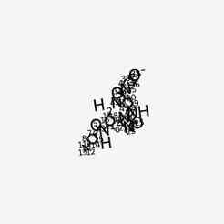 Cc1c(NC(=O)c2ccc(C(C)(C)C)cc2)cccc1-c1cn(C)c(=O)c(Nc2ccc(C(=O)N3CC[S+]([O-])CC3)c(N)c2)n1